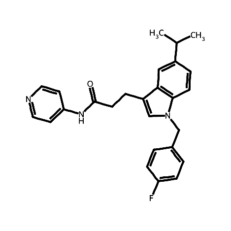 CC(C)c1ccc2c(c1)c(CCC(=O)Nc1ccncc1)cn2Cc1ccc(F)cc1